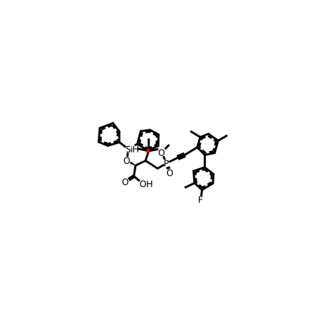 COP(=O)(C#Cc1c(C)cc(C)cc1-c1ccc(F)c(C)c1)CC([C@H](O[SiH](c1ccccc1)c1ccccc1)C(=O)O)C(C)(C)C